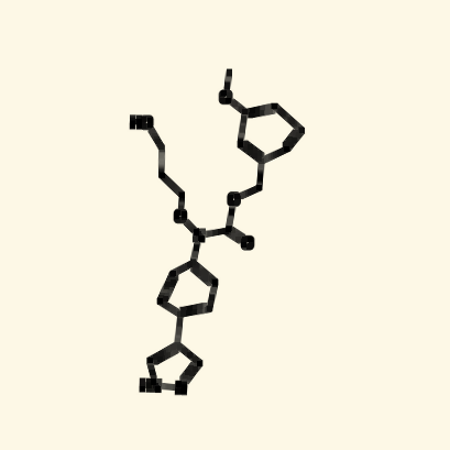 COc1cccc(COC(=O)N(OCCCO)c2ccc(-c3cn[nH]c3)cc2)c1